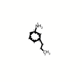 CC[CH]c1cccc(N)c1